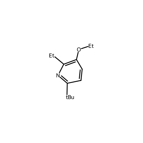 CCOc1ccc(C(C)(C)C)nc1CC